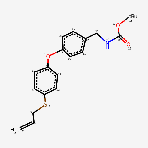 C=CCSc1ccc(Oc2ccc(CNC(=O)OC(C)(C)C)cc2)cc1